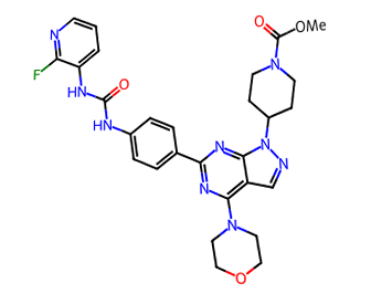 COC(=O)N1CCC(n2ncc3c(N4CCOCC4)nc(-c4ccc(NC(=O)Nc5cccnc5F)cc4)nc32)CC1